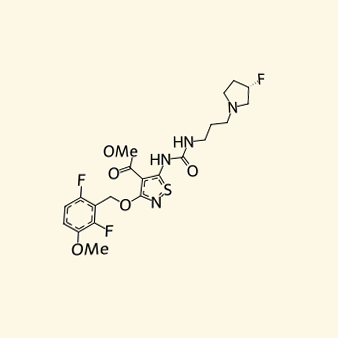 COC(=O)c1c(OCc2c(F)ccc(OC)c2F)nsc1NC(=O)NCCCN1CC[C@H](F)C1